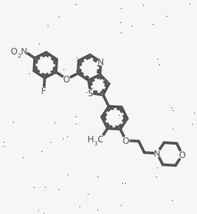 Cc1cc(-c2cc3nccc(Oc4ccc([N+](=O)[O-])cc4F)c3s2)ccc1OCCN1CCOCC1